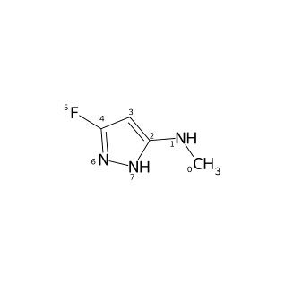 CNc1cc(F)n[nH]1